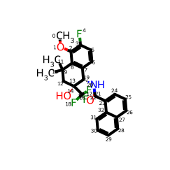 COc1c(F)ccc2c1C(C)(C)C[C@](O)(C(F)(F)F)[C@H]2NC(=O)c1cccc2ccccc12